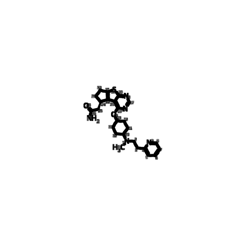 CN(CCc1ccccn1)C1CCC(Oc2ncnc3sc4c(c23)[C@@H](CC(N)=O)CC4)CC1